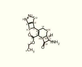 CCOC(=O)C1=C(C2Sc3nnsc32)CS[C@H]2C(N)C(=O)N12